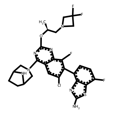 C[C@@H](CN1CC(F)(F)C1)Oc1nc(N2CC3CCC(C2)N3)c2cc(Cl)c(-c3ccc(F)c4sc(N)nc34)c(F)c2n1